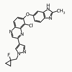 Cc1nc2ccc(Oc3ccc4ncc(-c5cnn(CC6(F)CC6)c5)nc4c3Cl)cc2[nH]1